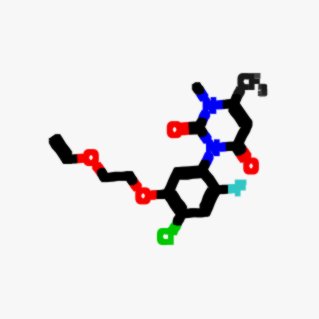 C=COCCOc1cc(-n2c(=O)cc(C(F)(F)F)n(C)c2=O)c(F)cc1Cl